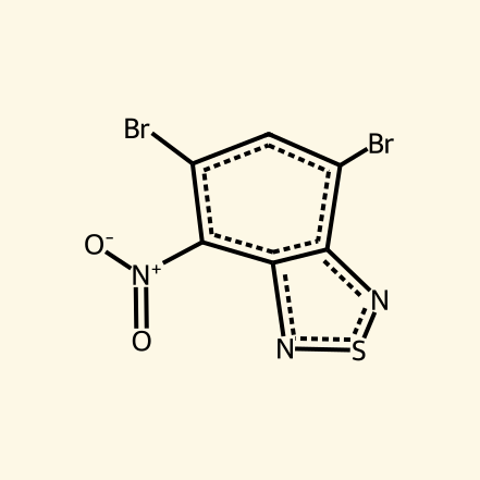 O=[N+]([O-])c1c(Br)cc(Br)c2nsnc12